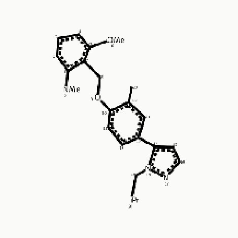 CNc1cccc(OC)c1COc1ccc(-c2ccnn2CC(C)C)cc1C